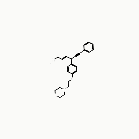 NCC=CC(C#Cc1ccccc1)c1ccc(OCCN2CCOCC2)cc1